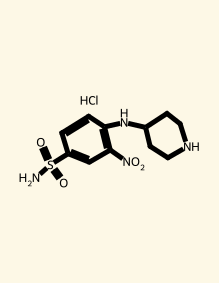 Cl.NS(=O)(=O)c1ccc(NC2CCNCC2)c([N+](=O)[O-])c1